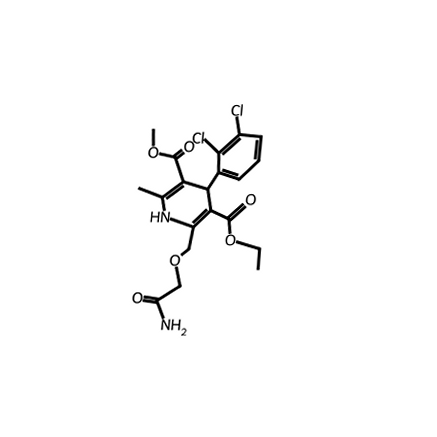 CCOC(=O)C1=C(COCC(N)=O)NC(C)=C(C(=O)OC)C1c1cccc(Cl)c1Cl